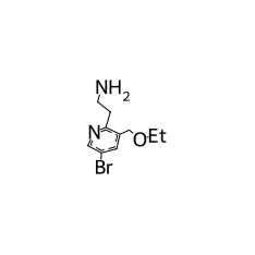 CCOCc1cc(Br)cnc1CCN